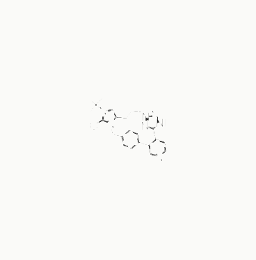 CCCc1cn(C(C)(C)C)c(=O)n1Cc1ccc(-c2cnccc2-c2nnn[nH]2)cc1